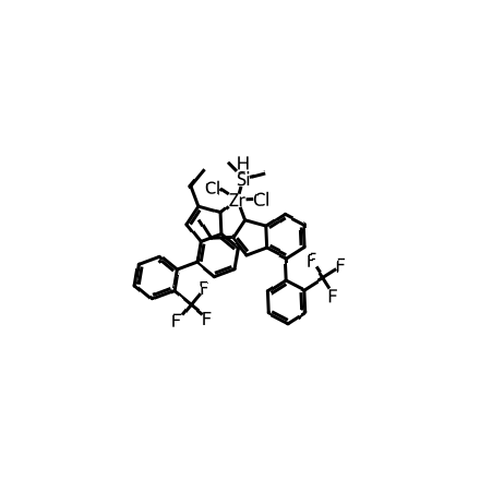 CCC1=Cc2c(-c3ccccc3C(F)(F)F)cccc2[CH]1[Zr]([Cl])([Cl])([CH]1C(CC)=Cc2c(-c3ccccc3C(F)(F)F)cccc21)[SiH](C)C